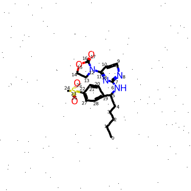 CCCCCC(Nc1nccc(N2CCOC2=O)n1)c1ccc(S(C)(=O)=O)cc1